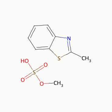 COS(=O)(=O)O.Cc1nc2ccccc2s1